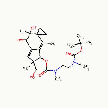 CC1=C2C(=CC(C)(CO)C2OC(=O)N(C)CCN(C)C(=O)OC(C)(C)C)C(=O)C(C)(O)C12CC2